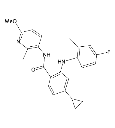 COc1ccc(NC(=O)c2ccc(C3CC3)cc2Nc2ccc(F)cc2C)c(C)n1